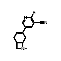 N#Cc1cc(C2=CCC3CNC3C2)cnc1Br